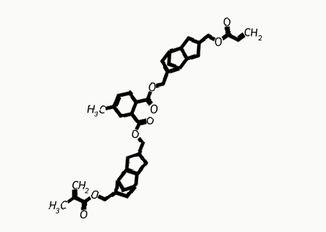 C=CC(=O)OCC1CC2C3CC(COC(=O)C4CC=C(C)CC4C(=O)OCC4CC5C6CC(COC(=O)C(=C)C)C(C6)C5C4)C(C3)C2C1